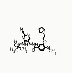 COc1ccc(C(=O)NCc2cnc(C#N)nc2NCC(C)(C)C)cc1OCCN1CCCC1